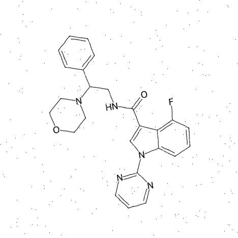 O=C(NCC(c1ccccc1)N1CCOCC1)c1cn(-c2ncccn2)c2cccc(F)c12